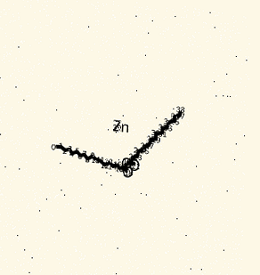 CCCCCCCCCCCCCCCCCC(=O)OC(=O)CCCCCCCCCCCCCCCCC.[Zn]